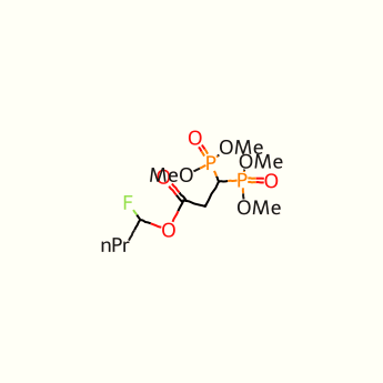 CCCC(F)OC(=O)CC(P(=O)(OC)OC)P(=O)(OC)OC